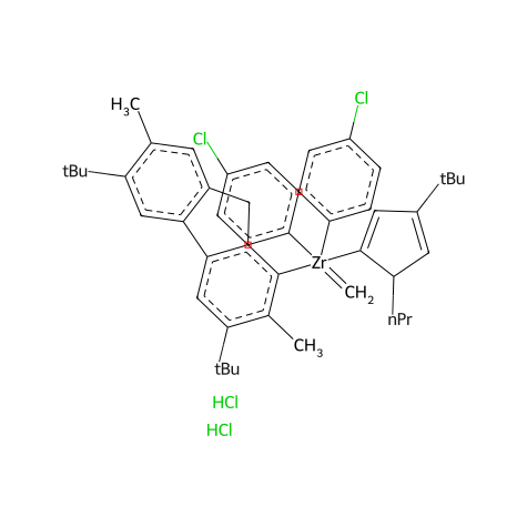 Cl.Cl.[CH2]=[Zr]([C]1=CC(C(C)(C)C)=CC1CCC)([c]1ccc(Cl)cc1)([c]1ccc(Cl)cc1)[c]1c(C)c(C(C)(C)C)cc2c1Cc1cc(C)c(C(C)(C)C)cc1-2